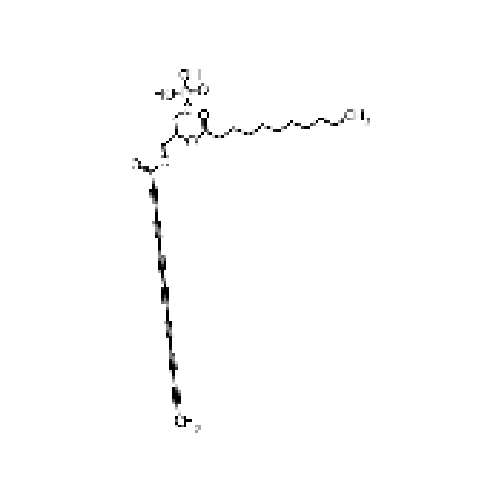 CC#CC#CC#CC#CC#CC#CC#CC(=O)OC[C@@H](COP(=O)(O)O)OC(=O)CCCCCCCCCC